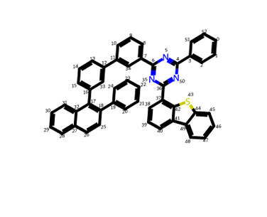 c1ccc(-c2nc(-c3cccc(-c4cccc(-c5c(-c6ccccc6)ccc6ccccc56)c4)c3)nc(-c3cccc4c3sc3ccccc34)n2)cc1